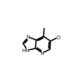 Cc1c(Cl)cnc2[nH]cnc12